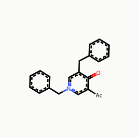 CC(=O)c1cn(Cc2ccccc2)cc(Cc2ccccc2)c1=O